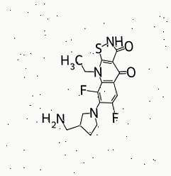 CCn1c2s[nH]c(=O)c2c(=O)c2cc(F)c(N3CCC(CN)C3)c(F)c21